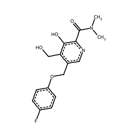 CN(C)C(=O)c1ncc(COc2ccc(F)cc2)c(CO)c1O